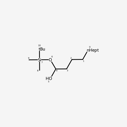 CCCCCCCCCCC(O)O[Si](C)(C)C(C)(C)C